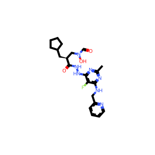 Cc1nc(NCc2ccccn2)c(F)c(NNC(=O)[C@@H](CC2CCCC2)CN(O)C=O)n1